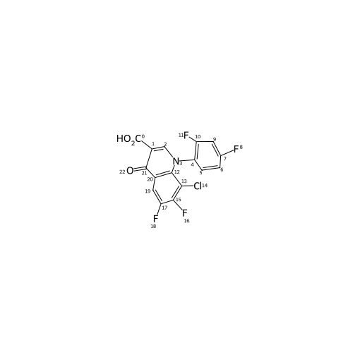 O=C(O)c1cn(-c2ccc(F)cc2F)c2c(Cl)c(F)c(F)cc2c1=O